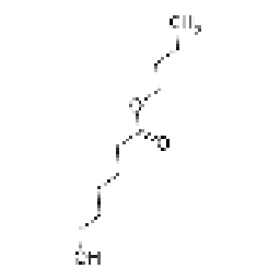 [CH2]CCCOC(=O)CCCCCO